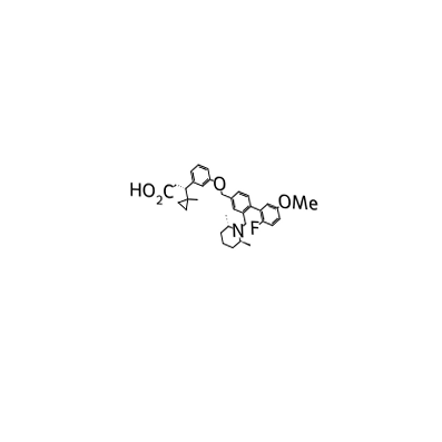 COc1ccc(F)c(-c2ccc(COc3cccc([C@@H](CC(=O)O)C4(C)CC4)c3)cc2CN2[C@@H](C)CCC[C@@H]2C)c1